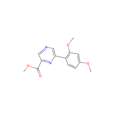 COC(=O)c1cncc(-c2ccc(OC)cc2OC)n1